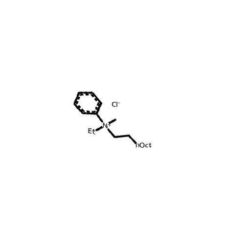 CCCCCCCCCC[N+](C)(CC)c1ccccc1.[Cl-]